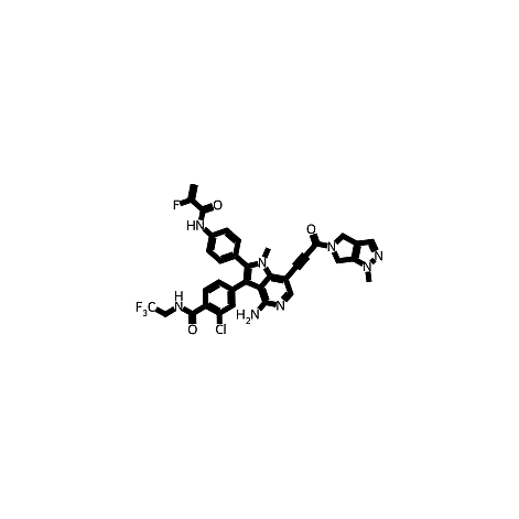 C=C(F)C(=O)Nc1ccc(-c2c(-c3ccc(C(=O)NCC(F)(F)F)c(Cl)c3)c3c(N)ncc(C#CC(=O)N4Cc5cnn(C)c5C4)c3n2C)cc1